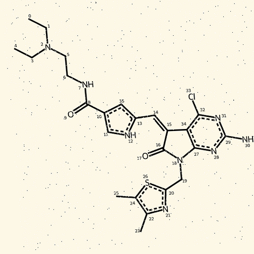 CCN(CC)CCNC(=O)c1c[nH]c(C=C2C(=O)N(Cc3nc(C)c(C)s3)c3nc(N)nc(Cl)c32)c1